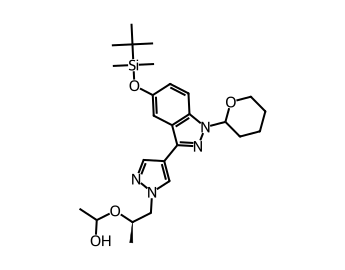 CC(O)O[C@H](C)Cn1cc(-c2nn(C3CCCCO3)c3ccc(O[Si](C)(C)C(C)(C)C)cc23)cn1